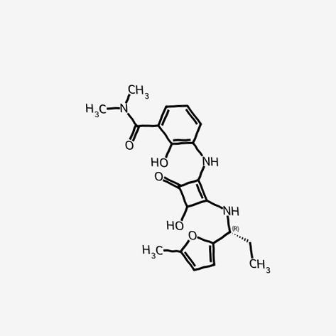 CC[C@@H](NC1=C(Nc2cccc(C(=O)N(C)C)c2O)C(=O)C1O)c1ccc(C)o1